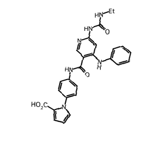 CCNC(=O)Nc1cc(Nc2ccccc2)c(C(=O)Nc2ccc(-n3cccc3C(=O)O)cc2)cn1